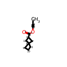 CC#COC(=O)C1CC2(CCC2)C1